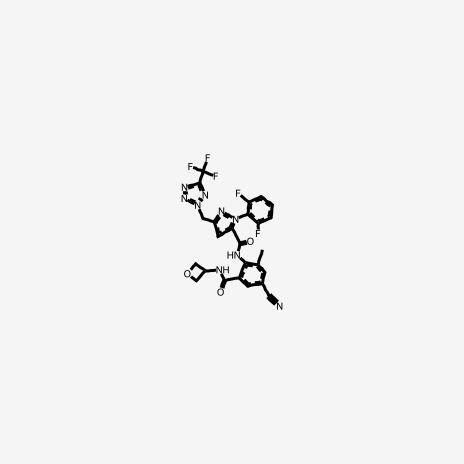 Cc1cc(C#N)cc(C(=O)NC2COC2)c1NC(=O)c1cc(Cn2nnc(C(F)(F)F)n2)nn1-c1c(F)cccc1F